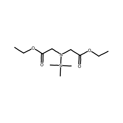 CCOC(=O)CN(CC(=O)OCC)[Si](C)(C)C